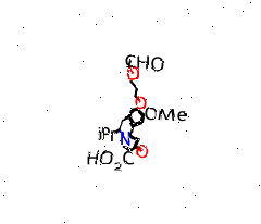 COc1cc2c(cc1OCCCOCC=O)CC(C(C)C)n1cc(C(=O)O)c(=O)cc1-2